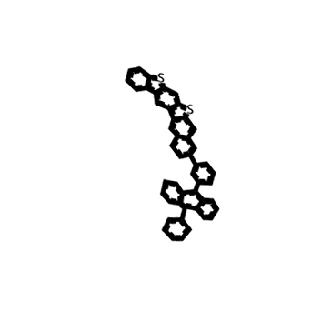 c1ccc(-c2c3ccccc3c(-c3cccc(-c4ccc5cc6c(cc5c4)sc4cc5sc7ccccc7c5cc46)c3)c3ccccc23)cc1